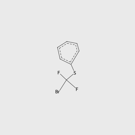 FC(F)(Br)Sc1ccccc1